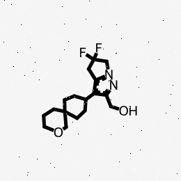 OCc1nn2c(c1C1CCC3(CCCOC3)CC1)CC(F)(F)C2